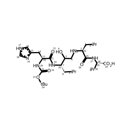 CC(C)C[C@H](NCC(O)[C@H](CC(C)C)NC(=O)[C@H](Cc1c[nH]cn1)NC(=O)OC(C)(C)C)C(=O)N[C@H](C(=O)O)C(C)C